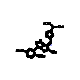 CCCCCCCCN(CCCCCCCC)c1ccc(/C=c2/c(C(C)(C)C)cn3c(-c4cc(OC)ccc4OC)nnc23)s1